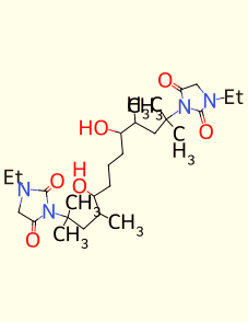 CCN1CC(=O)N(C(C)(C)CC(C)C(O)CCCC(O)C(C)CC(C)(C)N2C(=O)CN(CC)C2=O)C1=O